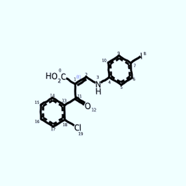 O=C(O)/C(=C/Nc1ccc(I)cc1)C(=O)c1ccccc1Cl